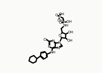 O=P(O)(O)CP(=O)(O)NCC1OC(n2cnc3c(Nc4ccc(C5CCCCC5)cc4)nc(Cl)nc32)C(O)C1O